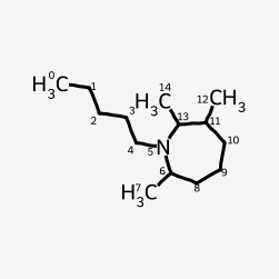 CCCCCN1C(C)CCCC(C)C1C